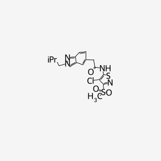 CC(C)Cn1cc2cc(CC(=O)Nc3snc(S(C)(=O)=O)c3Cl)ccc2n1